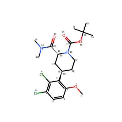 COc1ccc(Cl)c(Cl)c1[C@@H]1CCN(C(=O)OC(C)(C)C)[C@@H](C(=O)N(C)C)C1